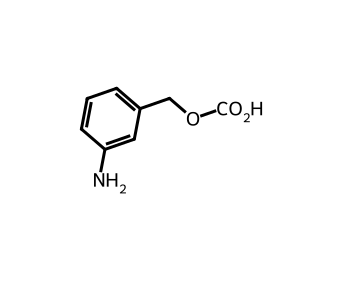 Nc1cccc(COC(=O)O)c1